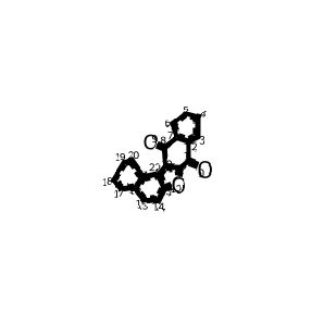 O=C1c2ccccc2C(=O)c2c1oc1ccc3ccccc3c21